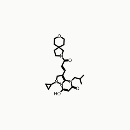 CC(C)CN1C(=O)C=C(O)N2C1=C(/C=C/C(=O)N1CCC3(CCOCC3)C1)CN2C1CC1